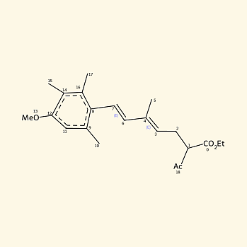 CCOC(=O)C(C/C=C(C)/C=C/c1c(C)cc(OC)c(C)c1C)C(C)=O